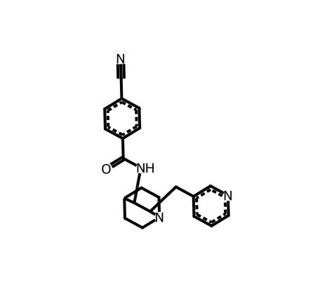 N#Cc1ccc(C(=O)NC2C3CCN(CC3)C2Cc2cccnc2)cc1